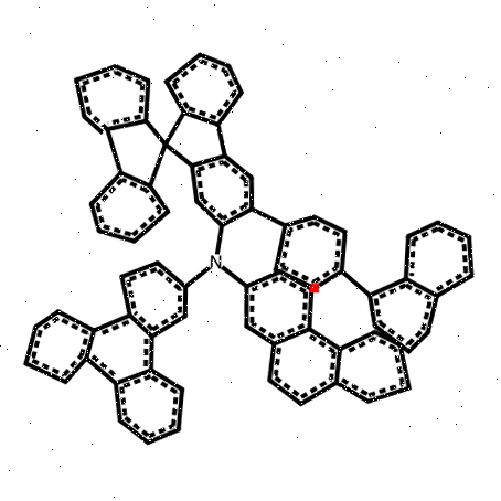 c1ccc2c(c1)-c1ccccc1C21c2ccccc2-c2cc(-c3ccc(-c4cccc5ccccc45)cc3)c(N(c3ccc4c(ccc5ccccc54)c3)c3ccc4c5ccccc5c5ccccc5c4c3)cc21